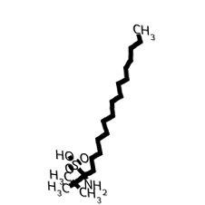 CCCCCCCCCCCCCCCCC(N)(C(C)(C)C)S(=O)(=O)O